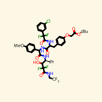 COc1ccc(C(NC(=O)C(Cc2ccc(OCC(=O)OC(C)(C)C)cc2)NC(=O)C(F)(F)c2cccc(Cl)c2)C(=O)N[C@@H](C(C)C)C(O)C(F)(F)C(=O)NCC(F)(F)F)cc1